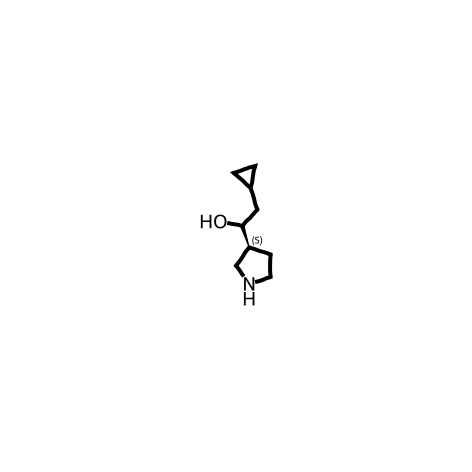 OC(CC1CC1)[C@H]1CCNC1